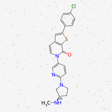 CN[C@@H]1CCN(c2ccc(-n3ccc4cc(-c5ccc(Cl)cc5)sc4c3=O)cn2)C1